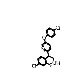 OCC(c1ccc(Oc2ccc(Cl)cc2)cn1)c1ccc(Cl)cc1F